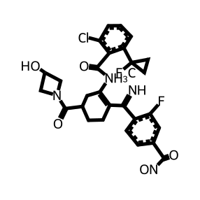 N=C(C1=C(NC(=O)c2c(Cl)cccc2C2(C(F)(F)F)CC2)CC(C(=O)N2CC(O)C2)CC1)c1ccc(C(=O)N=O)cc1F